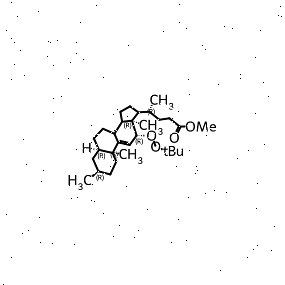 COC(=O)CC[C@@H](C)C1CCC2C3CC[C@@H]4C[C@H](C)CC[C@]4(C)C3=C[C@@H](OOC(C)(C)C)[C@@]21C